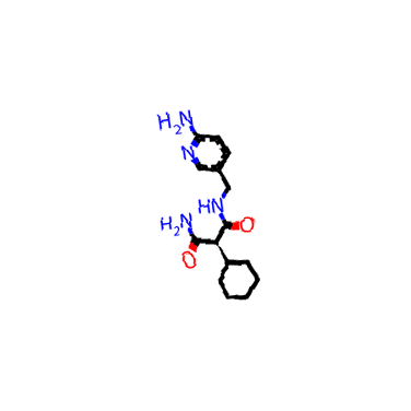 NC(=O)[C@@H](C(=O)NCc1ccc(N)nc1)C1CCCCC1